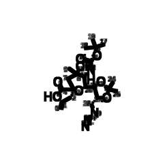 C=CC[C@]1(C(=O)O)CC(C)(O)[C@@H](NC(=O)OC(C)(C)C)[C@H]([C@@H]2OC(C)(C)O[C@@H]2CN=[N+]=[N-])O1